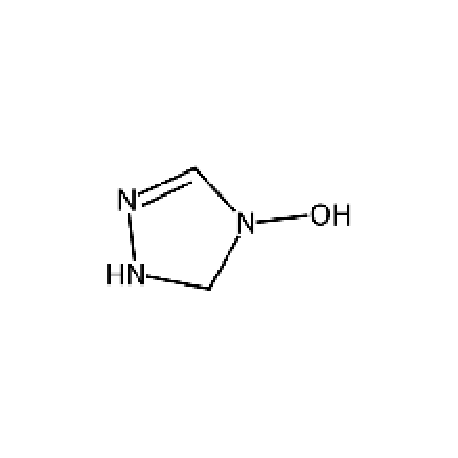 ON1C=NNC1